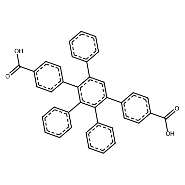 O=C(O)c1ccc(-c2cc(-c3ccccc3)c(-c3ccc(C(=O)O)cc3)c(-c3ccccc3)c2-c2ccccc2)cc1